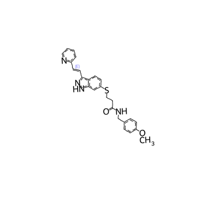 COc1ccc(CNC(=O)CCSc2ccc3c(/C=C/c4ccccn4)n[nH]c3c2)cc1